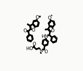 COc1ccc2oc(C(=O)c3ccccc3)c(C)c2c1.COc1ccc2oc(C(Nc3ccc(C(=O)N(C)CCC(=O)O)cc3)c3ccccc3)c(C)c2c1